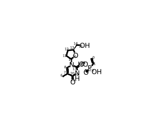 C=CP(=O)(O)O.Cc1cn([C@H]2CC[C@@H](CO)O2)c(=O)[nH]c1=O